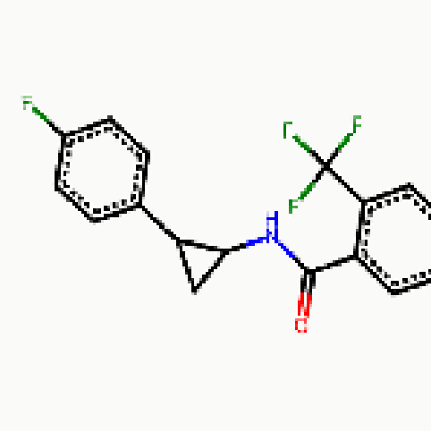 O=C(NC1CC1c1ccc(F)cc1)c1ccccc1C(F)(F)F